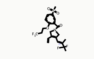 C=CC1=C(/C=C(\C)C(C)(F)F)CN(C(=O)c2cc(S(C)(=O)=O)ccc2OCCC(F)(F)F)C1